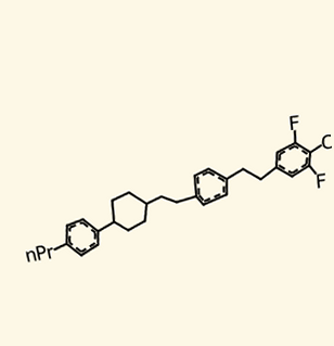 CCCc1ccc(C2CCC(CCc3ccc(CCc4cc(F)c(Cl)c(F)c4)cc3)CC2)cc1